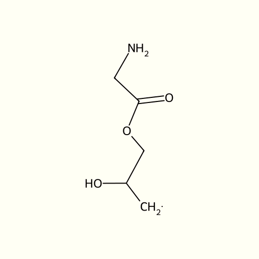 [CH2]C(O)COC(=O)CN